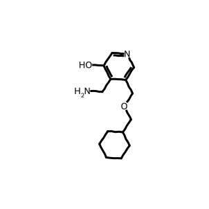 NCc1c(O)cncc1COCC1CCCCC1